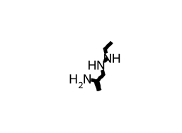 C=C(N)CNNCC